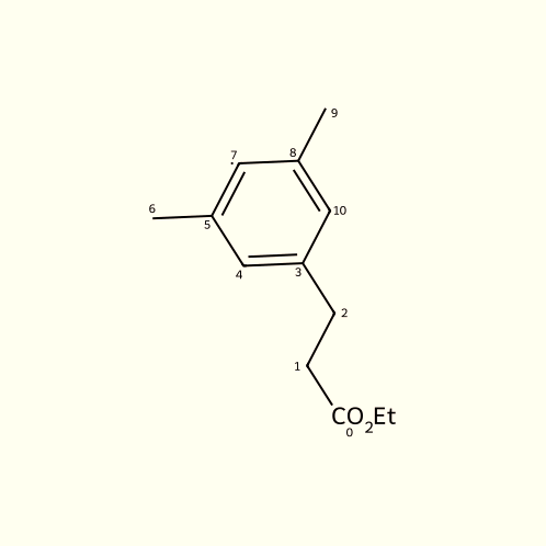 CCOC(=O)CCc1cc(C)[c]c(C)c1